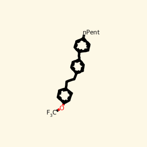 CCCCCc1ccc(-c2ccc(CCc3ccc(OC(F)(F)F)cc3)cc2)cc1